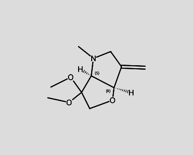 C=C1CN(C)[C@H]2[C@@H]1OCC2(OC)OC